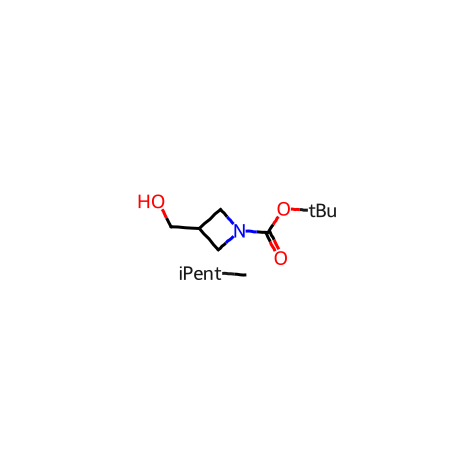 CC(C)(C)OC(=O)N1CC(CO)C1.CCCC(C)C